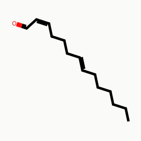 CCCCCC/C=C/CCC/C=C\C=O